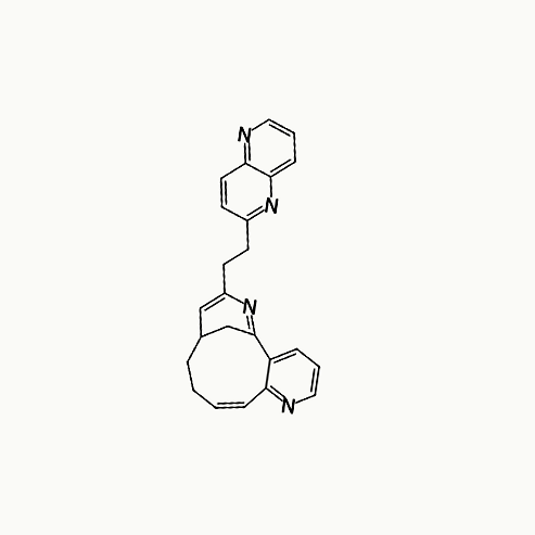 C1=C(CCc2ccc3ncccc3n2)N=C2CC1CC/C=C\c1ncccc12